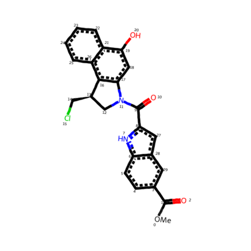 COC(=O)c1ccc2[nH]c(C(=O)N3C[C@@H](CCl)c4c3cc(O)c3ccccc43)cc2c1